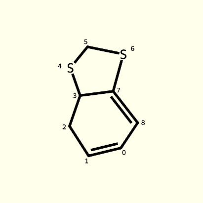 C1=CCC2SCSC2=C1